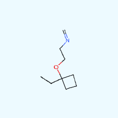 C=NCCOC1(CC)CCC1